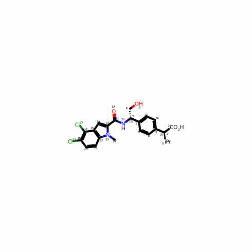 CC(C)[C@H](C(=O)O)c1ccc([C@@H](CO)NC(=O)c2cc3c(Cl)c(Cl)ccc3n2C)cc1